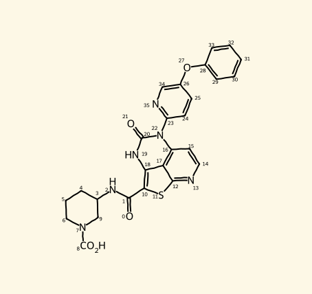 O=C(NC1CCCN(C(=O)O)C1)c1sc2nccc3c2c1NC(=O)N3c1ccc(Oc2ccccc2)cn1